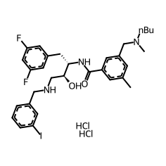 CCCCN(C)Cc1cc(C)cc(C(=O)N[C@@H](Cc2cc(F)cc(F)c2)[C@@H](O)CNCc2cccc(I)c2)c1.Cl.Cl